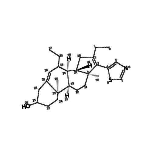 CCC1=C(c2cncs2)[C@@]2(C)CC[C@@H]3[C@@H](C(CC)C=C4CC(O)CC[C@@]43C)[C@@H]2C1